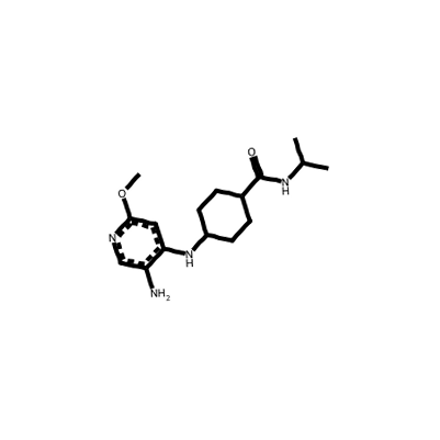 COc1cc(NC2CCC(C(=O)NC(C)C)CC2)c(N)cn1